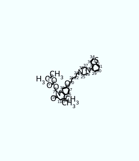 CC(C)OC(=O)OCN1C(=O)CC(C)(C)c2ccc(OCCCCN3CCN(c4cccc5sccc45)CC3)cc21